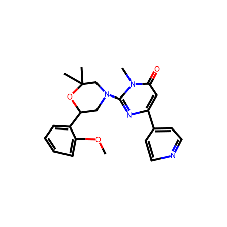 COc1ccccc1C1CN(c2nc(-c3ccncc3)cc(=O)n2C)CC(C)(C)O1